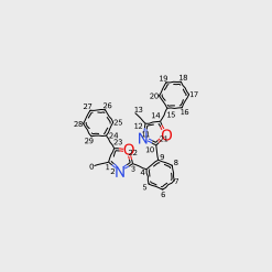 Cc1nc(-c2ccccc2-c2nc(C)c(-c3ccccc3)o2)oc1-c1ccccc1